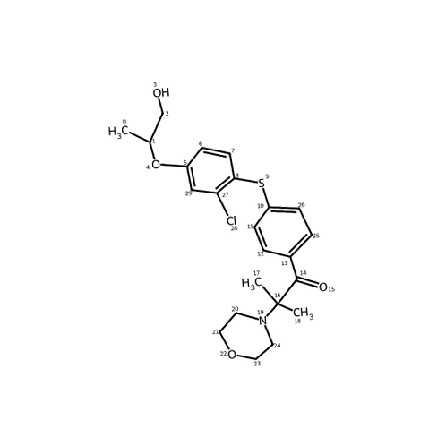 CC(CO)Oc1ccc(Sc2ccc(C(=O)C(C)(C)N3CCOCC3)cc2)c(Cl)c1